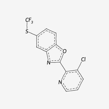 FC(F)(F)Sc1ccc2oc(-c3ncccc3Cl)nc2c1